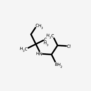 BC(NC(C)(C)CC)C(C)Cl